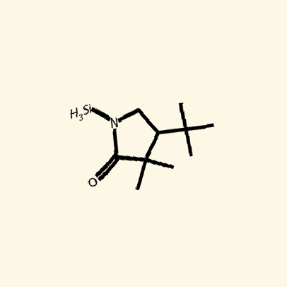 CC(C)(C)C1CN([SiH3])C(=O)C1(C)C